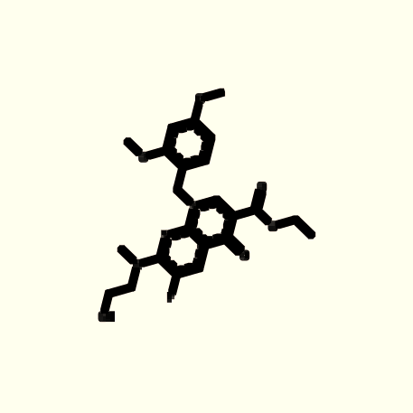 CCOC(=O)c1cn(Cc2ccc(OC)cc2OC)c2nc(N(C)CCO)c(F)cc2c1=O